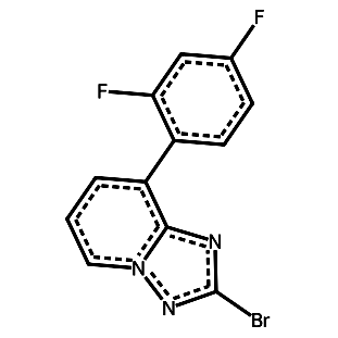 Fc1ccc(-c2cccn3nc(Br)nc23)c(F)c1